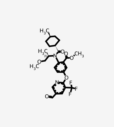 COC[C@H](C)N(c1ccc(Oc2ncc(C=O)cc2C(F)(F)F)cc1C(=O)OC)C(=O)[C@H]1CC[C@H](C)CC1